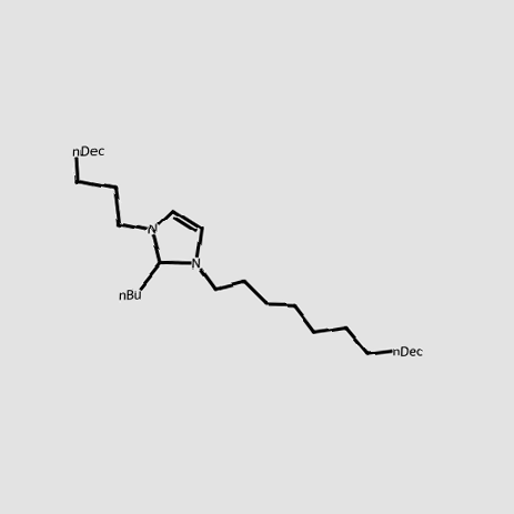 CCCCCCCCCCCCCCCCCN1C=CN(CCCCCCCCCCCCC)C1CCCC